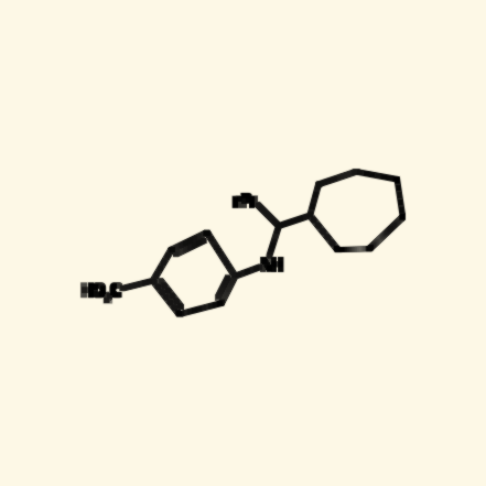 CCCC(Nc1ccc(C(=O)O)cc1)C1CCCCCC1